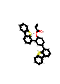 C=CC(=O)OC1CCC(c2cccc3c2sc2ccccc23)CC1c1cccc2c1sc1ccccc12